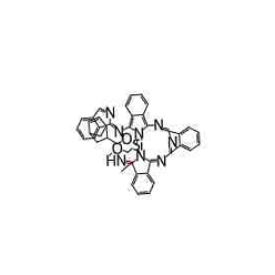 CC[C@H](OC)[Si]1(OCC2CC3C=CC2C3)N2C(=N)c3ccccc3/C2=N/C2=NC(=N\c3c4ccccc4c(/N=C4\N=Cc5ccccc54)n31)/c1ccccc12